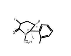 C[C@@]1(c2ccccc2F)[C@@H](F)CC(F)C(=O)N1C(=O)O